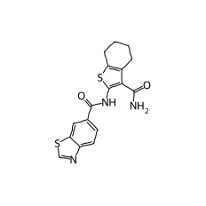 NC(=O)c1c(NC(=O)c2ccc3ncsc3c2)sc2c1CCCC2